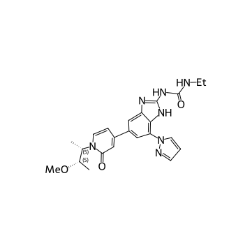 CCNC(=O)Nc1nc2cc(-c3ccn([C@@H](C)[C@H](C)OC)c(=O)c3)cc(-n3cccn3)c2[nH]1